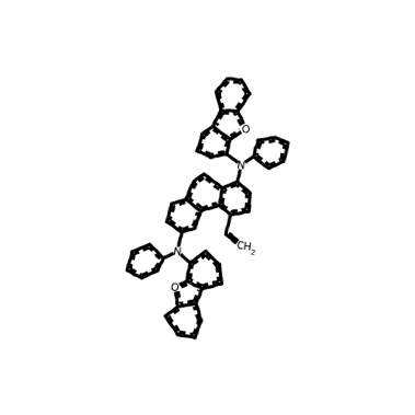 C=Cc1ccc(N(c2ccccc2)c2cccc3c2oc2ccccc23)c2ccc3ccc(N(c4ccccc4)c4cccc5c4oc4ccccc45)cc3c12